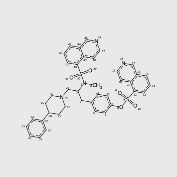 CN(C(Cc1ccc(OS(=O)(=O)c2cccc3cnccc23)cc1)CN1CCC(c2ccccc2)CC1)S(=O)(=O)c1cccc2cnccc12